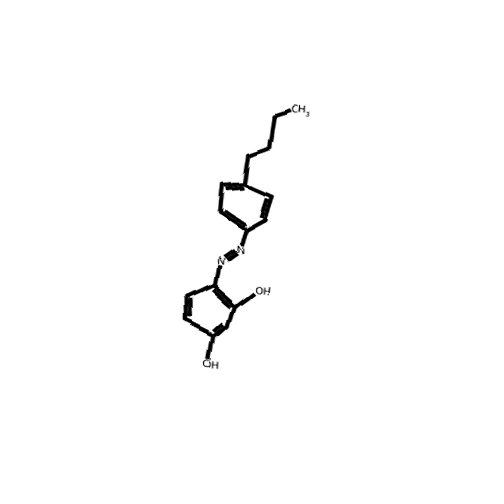 CCCCc1ccc(/N=N/c2ccc(O)cc2O)cc1